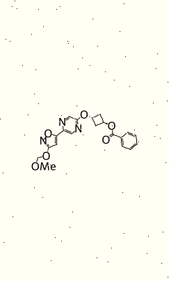 COCOc1cc(-c2cnc(O[C@H]3C[C@H](OC(=O)c4ccccc4)C3)cn2)on1